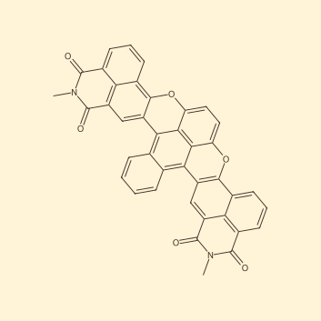 Cn1c(=O)c2cccc3c4oc5ccc6oc7c8cccc9c(=O)n(C)c(=O)c(cc7c7c%10ccccc%10c(c4cc(c1=O)c23)c5c67)c98